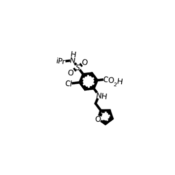 CC(C)NS(=O)(=O)c1cc(C(=O)O)c(NCc2ccco2)cc1Cl